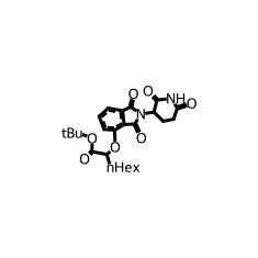 CCCCCCC(Oc1cccc2c1C(=O)N(C1CCC(=O)NC1=O)C2=O)C(=O)OC(C)(C)C